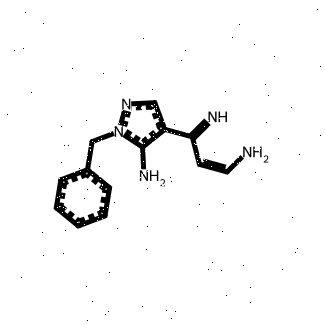 N=C(/C=C\N)c1cnn(Cc2ccccc2)c1N